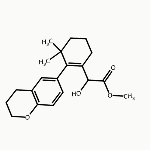 COC(=O)C(O)C1=C(c2ccc3c(c2)CCCO3)C(C)(C)CCC1